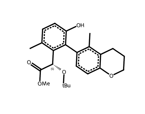 COC(=O)[C@@H](OC(C)(C)C)c1c(C)ccc(O)c1-c1ccc2c(c1C)CCCO2